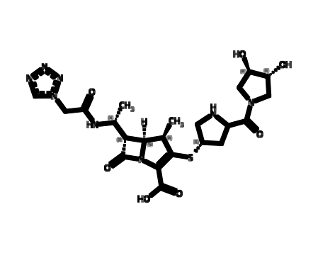 C[C@@H](NC(=O)Cn1cnnn1)[C@H]1C(=O)N2C(C(=O)O)=C(S[C@@H]3CNC(C(=O)N4C[C@@H](O)[C@H](O)C4)C3)[C@H](C)[C@H]12